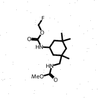 COC(=O)NCC1(C)CC(NC(=O)OCF)CC(C)(C)C1